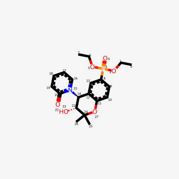 CCOP(=O)(OCC)c1ccc2c(c1)[C@H](n1ccccc1=O)[C@@H](O)C(C)(C)O2